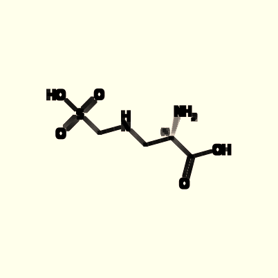 N[C@@H](CNCS(=O)(=O)O)C(=O)O